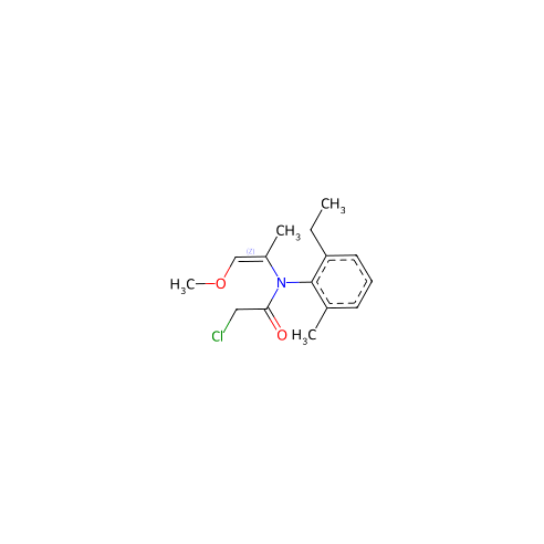 CCc1cccc(C)c1N(C(=O)CCl)/C(C)=C\OC